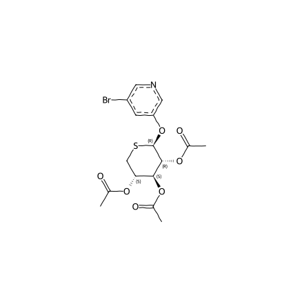 CC(=O)O[C@@H]1[C@@H](OC(C)=O)[C@H](OC(C)=O)CS[C@H]1Oc1cncc(Br)c1